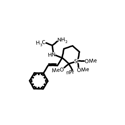 CCCC1(OC)C(C=Cc2ccccc2)(NC(C)N)CCC[Si]1(OC)OC